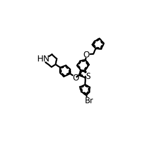 Brc1ccc(-c2sc3cc(OCc4ccccc4)ccc3c2Oc2ccc(C3CCNCC3)cc2)cc1